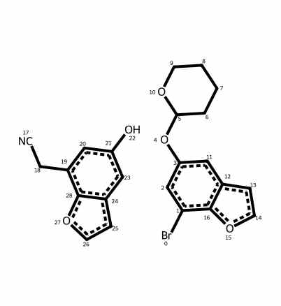 Brc1cc(OC2CCCCO2)cc2ccoc12.N#CCc1cc(O)cc2ccoc12